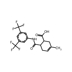 CC1=CCC(C(=O)Nc2cc(C(F)(F)F)cc(C(F)(F)F)c2)C(C(=O)O)C1